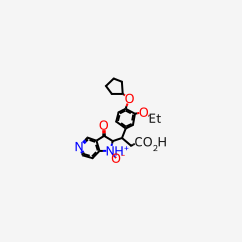 CCOc1cc(C(CC(=O)O)C2C(=O)c3cnccc3[NH+]2[O-])ccc1OC1CCCC1